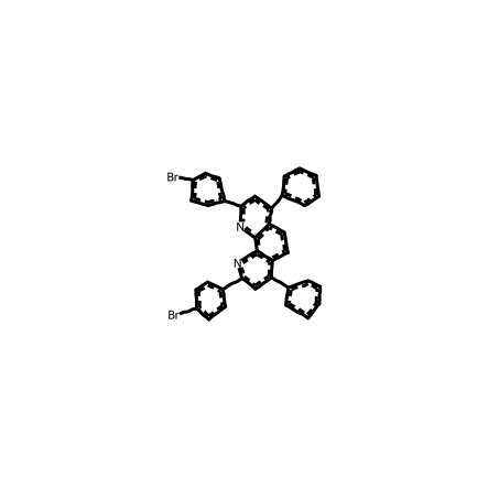 Brc1ccc(-c2cc(-c3ccccc3)c3ccc4c(-c5ccccc5)cc(-c5ccc(Br)cc5)nc4c3n2)cc1